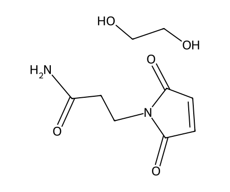 NC(=O)CCN1C(=O)C=CC1=O.OCCO